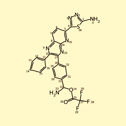 Nc1nnc(-c2ccc3nc(-c4ccccc4)c(-c4ccc(C(N)OC(=O)C(F)(F)F)cc4)nc3n2)s1